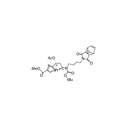 COC(=O)c1csc([C@@H](C[C@H](C(C)C)N(CCCCN2C(=O)C3C4C=CC(O4)C3C2=O)C(=O)OC(C)(C)C)OC(C)=O)n1